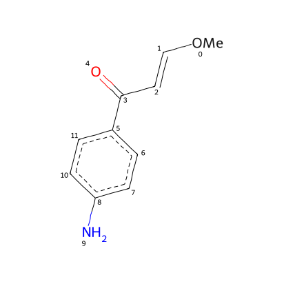 COC=CC(=O)c1ccc(N)cc1